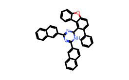 c1ccc(-c2ccc3oc4ccccc4c3c2C2N=C(c3ccc4ccccc4c3)N=C(c3ccc4ccccc4c3)N2)cc1